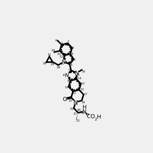 Cc1ccc2cc(-c3nc4cc5c(cc4n3C)CCN(C[C@@H](C)NC(=O)O)C5=O)n(CC3CC3)c2c1C